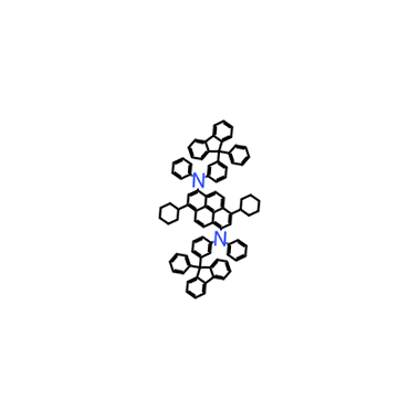 c1ccc(N(c2cccc(C3(c4ccccc4)c4ccccc4-c4ccccc43)c2)c2cc(C3CCCCC3)c3ccc4c(N(c5ccccc5)c5cccc(C6(c7ccccc7)c7ccccc7-c7ccccc76)c5)cc(C5CCCCC5)c5ccc2c3c54)cc1